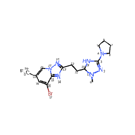 CN1N=C(N2CCCC2)NC1CCc1nc2c(Br)cc(C(F)(F)F)cn2n1